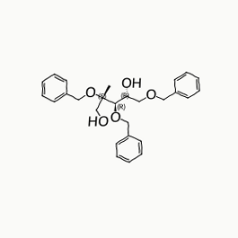 C[C@@](CO)(OCc1ccccc1)[C@H](OCc1ccccc1)[C@H](O)COCc1ccccc1